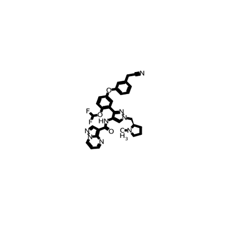 CN1CCC[C@@H]1Cn1cc(NC(=O)c2cnn3cccnc23)c(-c2cc(Oc3cccc(CC#N)c3)ccc2OC(F)F)n1